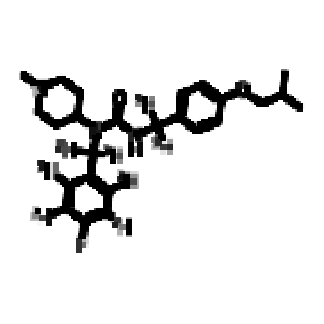 [2H]c1c([2H])c(C([2H])([2H])N(C(=O)NC([2H])([2H])c2ccc(OCC(C)C)cc2)C2CCN(C)CC2)c([2H])c([2H])c1F